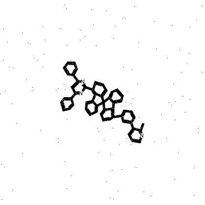 Cc1ncccc1-c1cccc(-c2cccc3c2-c2ccccc2C32c3ccccc3-c3c(-c4nc(-c5ccccc5)cc(-c5ccccc5)n4)cccc32)c1